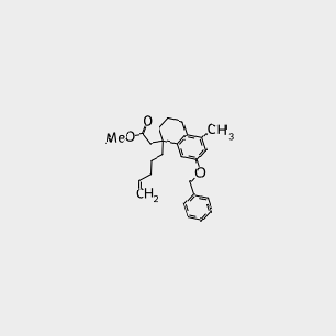 C=CCCCC1(CC(=O)OC)CCCc2c(C)cc(OCc3ccccc3)cc21